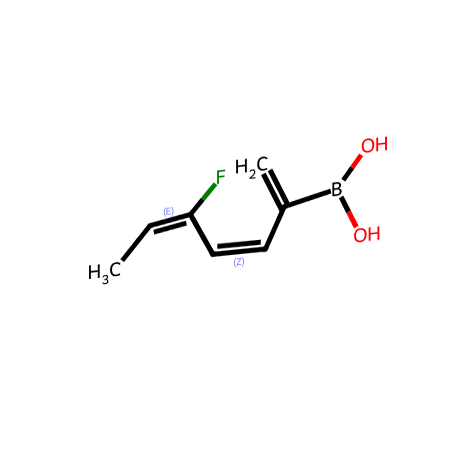 C=C(/C=C\C(F)=C/C)B(O)O